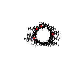 C/C=C/C[C@@H](C)[C@@H](O)[C@H]1C(=O)N[C@@H](CC)C(=O)N(C)[C@H](C)C(=O)N(C)[C@@H]([C@H](C)CS(C)(=O)=O)C(=O)N[C@@H](C(C)C)C(=O)N(C)[C@@H](CC(C)C)C(=O)N[C@@H](C)C(=O)N[C@H](C)C(=O)N(C)[C@@H](CC(C)C)C(=O)N(C)[C@@H](CC(C)C)C(=O)N(C)[C@@H](C(C)C)C(=O)N1C